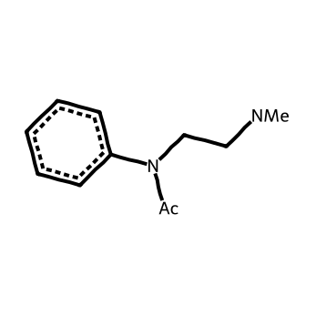 CNCCN(C(C)=O)c1ccccc1